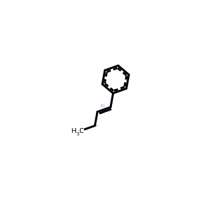 C[CH]/C=C/c1ccccc1